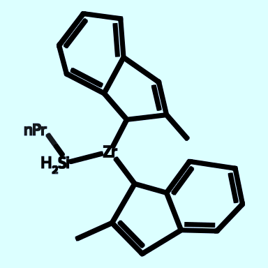 CCC[SiH2][Zr]([CH]1C(C)=Cc2ccccc21)[CH]1C(C)=Cc2ccccc21